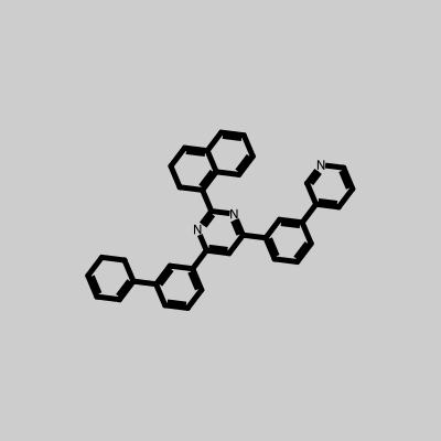 C1=CCCC(c2cccc(-c3cc(-c4cccc(-c5cccnc5)c4)nc(C4=c5ccccc5=CCC4)n3)c2)=C1